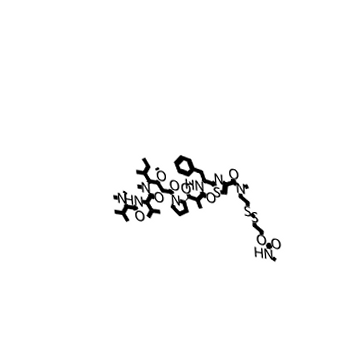 CCC(C)C(C(CC(=O)N1CCC[C@H]1C(OC)C(C)C(=O)NC(Cc1ccccc1)c1nc(C(=O)N(C)CCSSCCOC(=O)NC)cs1)OC)N(C)C(=O)C(NC(=O)C(C(C)C)N(C)C)C(C)C